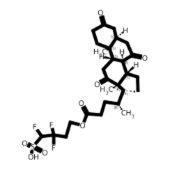 C[C@H](CCC(=O)OCCC(F)(F)C(F)S(=O)(=O)O)[C@H]1CC[C@H]2[C@@H]3C(=O)C[C@@H]4CC(=O)CC[C@]4(C)[C@H]3CC(=O)[C@]12C